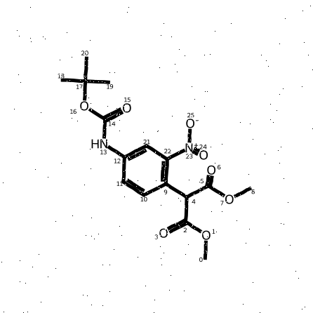 COC(=O)C(C(=O)OC)c1ccc(NC(=O)OC(C)(C)C)cc1[N+](=O)[O-]